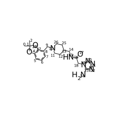 CC1(C)Oc2cccc(CN3CCC(CNC(=O)Cn4nnnc4N)CC3)c2O1